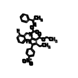 CCOC(=O)c1c(N(Cc2c(F)cccc2F)C(=O)O/N=C(/C)c2ccccc2)sc(-c2ccc([N+](=O)[O-])cc2)c1CC